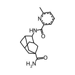 Cc1cccc(C(=O)NC2C3CC4CC2CC(C(N)=O)(C4)C3)n1